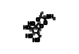 CC(O[C@@H]1OC2C(CO)[C@H](O)C(O)C21O)C(N)=O